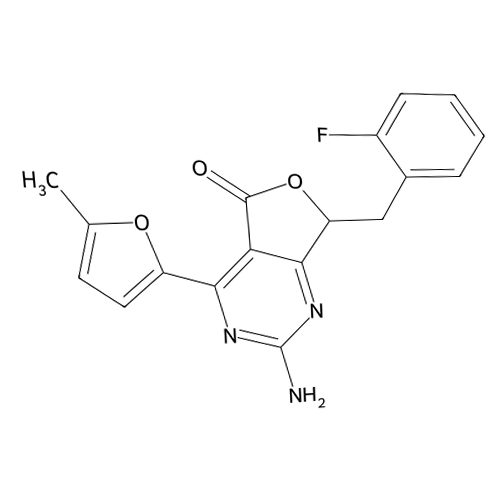 Cc1ccc(-c2nc(N)nc3c2C(=O)OC3Cc2ccccc2F)o1